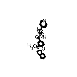 COc1cc(C(=O)Nc2nnc(-c3ccncc3)s2)ccc1OC1CCCc2ccccc21